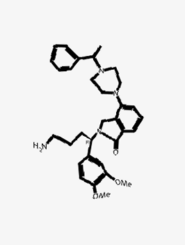 COc1ccc([C@@H](CCCN)N2Cc3c(cccc3N3CCN(C(C)c4ccccc4)CC3)C2=O)cc1OC